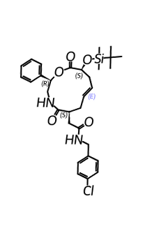 CC(C)(C)[Si](C)(C)O[C@H]1C/C=C/C[C@@H](CC(=O)NCc2ccc(Cl)cc2)C(=O)NC[C@@H](c2ccccc2)OC1=O